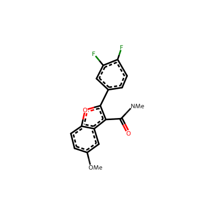 CNC(=O)c1c(-c2ccc(F)c(F)c2)oc2ccc(OC)cc12